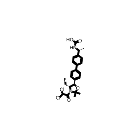 C[C@@H](NC(=O)O)c1ccc(-c2ccc([C@H]3OC(C)(C)N(C(=O)C(Cl)Cl)[C@@H]3CF)cc2)cc1